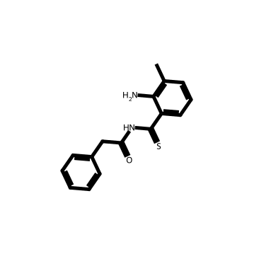 Cc1cccc(C(=S)NC(=O)Cc2ccccc2)c1N